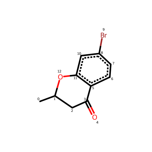 CC1CC(=O)c2ccc(Br)cc2O1